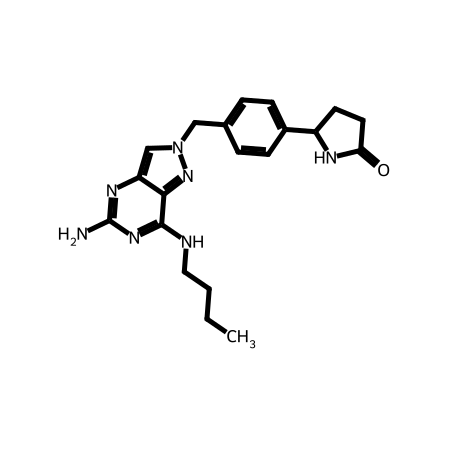 CCCCNc1nc(N)nc2cn(Cc3ccc(C4CCC(=O)N4)cc3)nc12